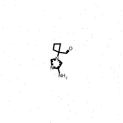 Nc1cn(C2(C=O)CCC2)cn1